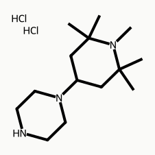 CN1C(C)(C)CC(N2CCNCC2)CC1(C)C.Cl.Cl